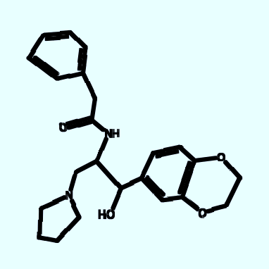 O=C(Cc1ccccc1)NC(CN1CCCC1)C(O)c1ccc2c(c1)OCCO2